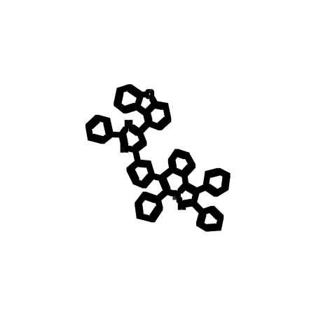 c1ccc(-c2nc(-c3cccc(-c4c(-c5ccccc5)n5nc(-c6ccccc6)c(-c6ccccc6)c5c5ccccc45)c3)cc(-c3cccc4oc5ccccc5c34)n2)cc1